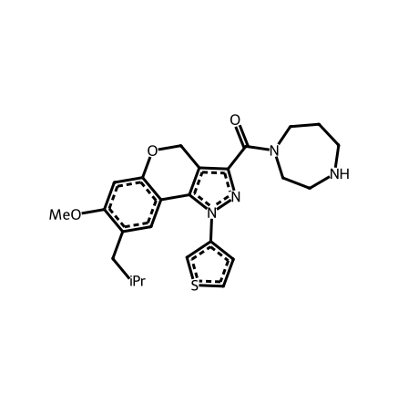 COc1cc2c(cc1CC(C)C)-c1c(c(C(=O)N3CCCNCC3)nn1-c1ccsc1)CO2